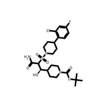 CC(C)(C)OC(=O)N1CCC([C@@H](O)C(C(N)=O)S(=O)(=O)N2CCC(c3ccc(F)cc3Cl)CC2)CC1